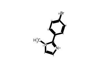 Cn1ccnc1-c1ccc(Br)cc1